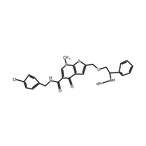 CCCNC(COCc1cc2c(=O)c(C(=O)NCc3ccc(Cl)cc3)cn(C)c2s1)c1ccccc1